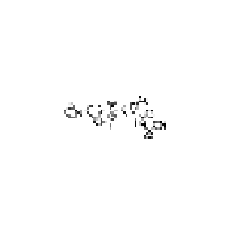 CC(=O)N1C[C@H](S(=O)(=O)c2ccc(-n3cccn3)cc2C(F)(F)F)C[C@H]1C(=O)NC1(C#N)CC1